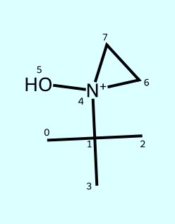 CC(C)(C)[N+]1(O)CC1